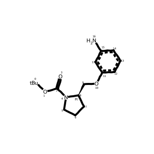 CC(C)(C)OC(=O)N1CCC[C@@H]1COc1cccc(N)c1